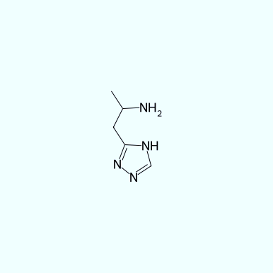 CC(N)Cc1nnc[nH]1